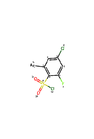 CC(=O)c1cc(Cl)cc(F)c1S(=O)(=O)Cl